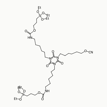 CCO[Si](CCCOC(=O)NCCCCCCn1c(=O)n(CCCCCCNC(=O)OCCC[Si](OCC)(OCC)OCC)c(=O)n(CCCCCCOC#N)c1=O)(OCC)OCC